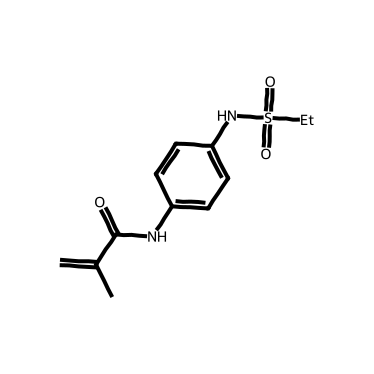 C=C(C)C(=O)Nc1ccc(NS(=O)(=O)CC)cc1